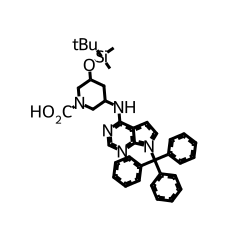 CC(C)(C)[Si](C)(C)OC1CC(Nc2ncnc3c2ccn3C(c2ccccc2)(c2ccccc2)c2ccccc2)CN(C(=O)O)C1